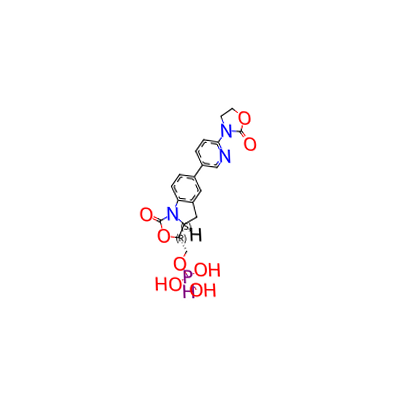 O=C1OCCN1c1ccc(-c2ccc3c(c2)C[C@H]2[C@H](CO[PH](O)(O)O)OC(=O)N32)cn1